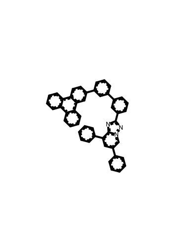 c1ccc(-c2cc(-c3ccccc3)c3nc(-c4cccc(-c5cccc(-c6ccc7c8ccccc8c8ccccc8c7c6)c5)c4)nn3c2)cc1